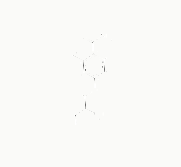 NC(=O)c1ccc(OCC(O)CO)cc1Cl